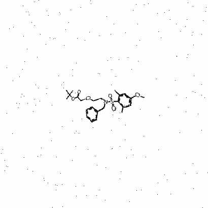 COc1cc(C)c(S(=O)(=O)N(CCOCC(=O)OC(C)(C)C)Cc2ccccc2)c(C)c1